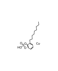 CCCCCCCCCc1ccccc1OS(=O)(=O)O.[Cu]